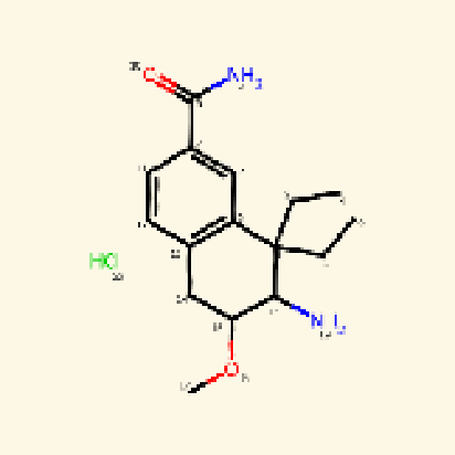 CCC1(CC)c2cc(C(N)=O)ccc2CC(OC)C1N.Cl